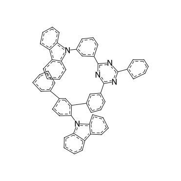 c1ccc(-c2ccc(-n3c4ccccc4c4ccccc43)c(-c3cccc(-c4nc(-c5ccccc5)nc(-c5cccc(-n6c7ccccc7c7ccccc76)c5)n4)c3)c2)cc1